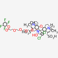 CC1(C)C=C(CS(=O)(=O)O)c2cc3c(c4c2N1CCC4)Oc1c(cc2c4c1CCCN4C(C)(C)C=C2CS(=O)(=O)O)C31c2c(Cl)ccc(Cl)c2C(O)N1CCOCCOCCOCCOCCC(=O)Oc1c(F)c(F)cc(F)c1F